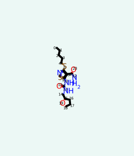 CCCCCSc1nsc(NC(=O)NCC2CCCO2)c1C(N)=O